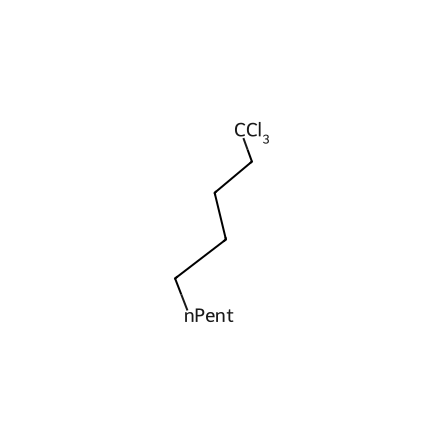 CCCCCCCCCC(Cl)(Cl)Cl